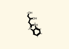 OCC(O)Cc1nc2ccccc2[nH]1